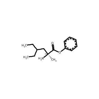 CCC(CC)C[C@](C)(N)C(=O)Oc1ccccc1